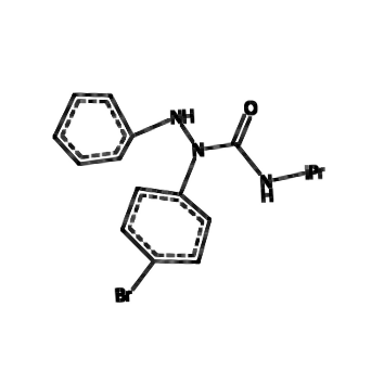 CC(C)NC(=O)N(Nc1ccccc1)c1ccc(Br)cc1